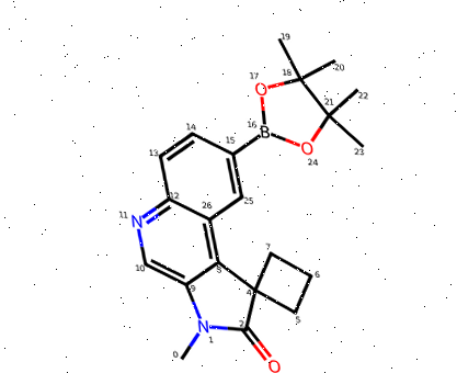 CN1C(=O)C2(CCC2)c2c1cnc1ccc(B3OC(C)(C)C(C)(C)O3)cc21